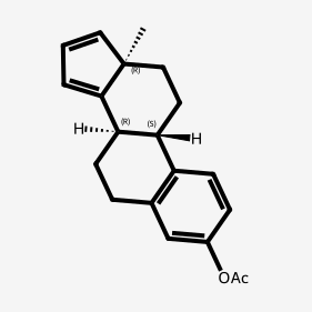 CC(=O)Oc1ccc2c(c1)CC[C@H]1C3=CC=C[C@@]3(C)CC[C@H]21